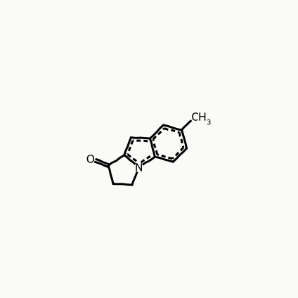 Cc1ccc2c(c1)cc1n2CCC1=O